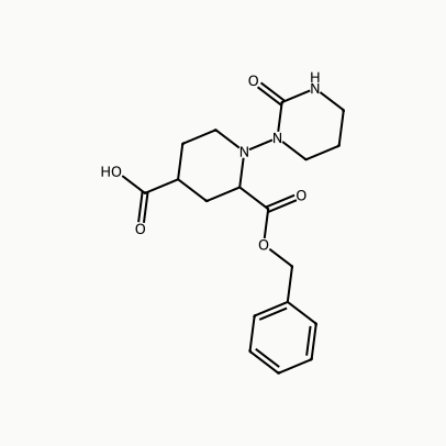 O=C(O)C1CCN(N2CCCNC2=O)C(C(=O)OCc2ccccc2)C1